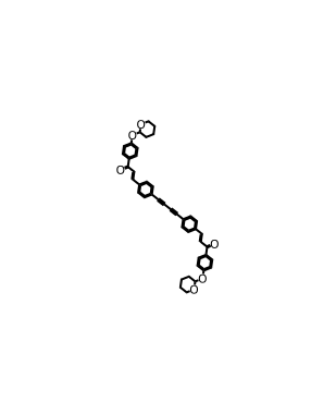 O=C(/C=C/c1ccc(C#CC#Cc2ccc(/C=C/C(=O)c3ccc(OC4CCCCO4)cc3)cc2)cc1)c1ccc(OC2CCCCO2)cc1